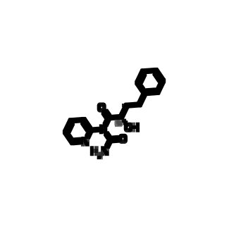 NC(=O)N(C(=O)[C@@H](O)[CH]Cc1ccccc1)c1ccccn1